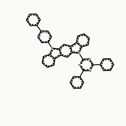 c1ccc(-c2ccc(-n3c4ccccc4c4cc5c(cc43)c3ccccc3n5-c3nc(-c4ccccc4)nc(-c4ccccc4)n3)cc2)cc1